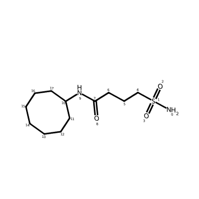 NS(=O)(=O)CCCC(=O)NC1CCCCCCC1